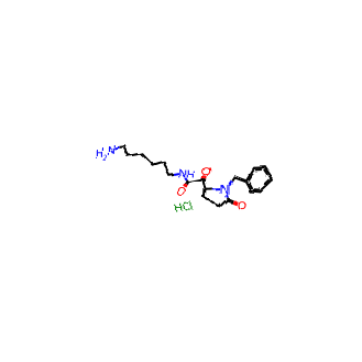 Cl.NCCCCCCNC(=O)C(=O)C1CCC(=O)N1Cc1ccccc1